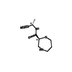 C[C@@H](C#N)NC(=O)[C@@H]1CNCCCO1